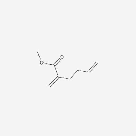 C=CCCC(=C)C(=O)OC